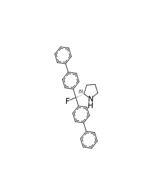 FC(c1ccc(-c2ccccc2)cc1)(c1ccc(-c2ccccc2)cc1)[C@@H]1CCCN1